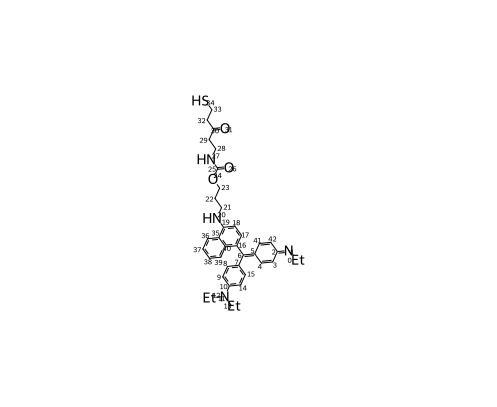 CCN=C1C=CC(=C(c2ccc(N(CC)CC)cc2)c2ccc(NCCCOC(=O)NCCC(=O)CCS)c3ccccc23)C=C1